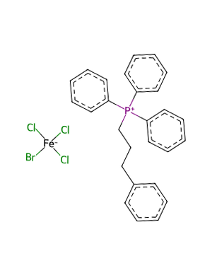 [Cl][Fe-]([Cl])([Cl])[Br].c1ccc(CCC[P+](c2ccccc2)(c2ccccc2)c2ccccc2)cc1